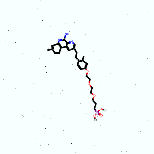 CCOP(=O)(CCCOCCOCCOc1ccc(CCc2cnc3c(N)nc4cc(C)ccc4c3c2)c(C)c1)OCC